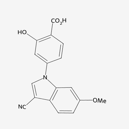 COc1ccc2c(C#N)cn(-c3ccc(C(=O)O)c(O)c3)c2c1